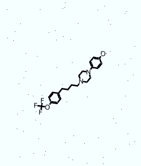 [O]c1ccc(N2CCN(CCCCc3ccc(OC(F)(F)F)cc3)CC2)cc1